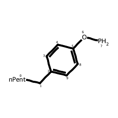 CCCCCCc1ccc(OP)cc1